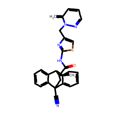 C=C1C=CC=NN1Cc1csc(NC(=O)C2(C)CC3(C#N)c4ccccc4C2c2ccccc23)n1